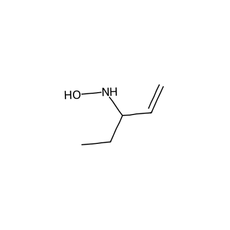 C=CC(CC)NO